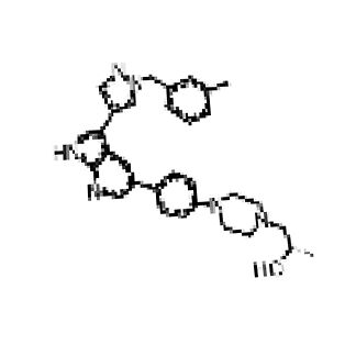 Cc1cccc(Cn2cc(-c3c[nH]c4ncc(-c5ccc(N6CCN(C[C@H](C)O)CC6)cc5)cc34)cn2)c1